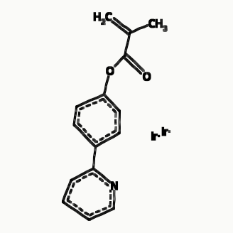 C=C(C)C(=O)Oc1ccc(-c2ccccn2)cc1.[Ir].[Ir]